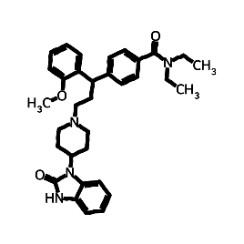 CCN(CC)C(=O)c1ccc(C(CCN2CCC(n3c(=O)[nH]c4ccccc43)CC2)c2ccccc2OC)cc1